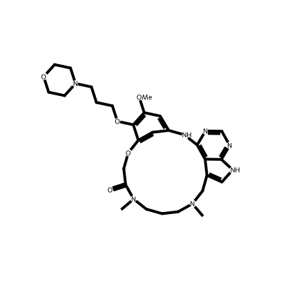 COc1cc2cc(c1OCCCN1CCOCC1)OCC(=O)N(C)CCCN(C)Cc1c[nH]c3ncnc(c13)N2